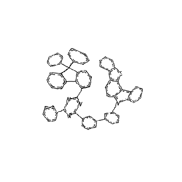 c1ccc(-c2nc(-c3cccc(-c4cccc(-n5c6ccccc6c6c7sc8ccccc8c7ccc65)c4)c3)nc(-c3cccc4c3-c3ccccc3C4(c3ccccc3)c3ccccc3)n2)cc1